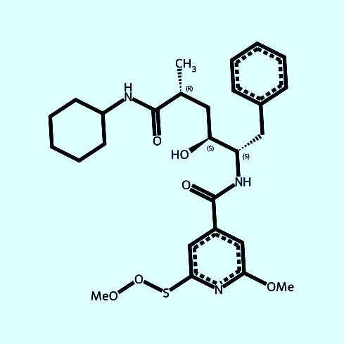 COOSc1cc(C(=O)N[C@@H](Cc2ccccc2)[C@@H](O)C[C@@H](C)C(=O)NC2CCCCC2)cc(OC)n1